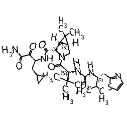 CC(C)[C@@H](Cc1nccs1)NC(=O)N[C@H](C(=O)N1C[C@H]2[C@@H]([C@H]1C(=O)NC(CC1CC1)C(=O)C(N)=O)C2(C)C)C(C)(C)C